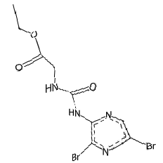 CCOC(=O)CNC(=O)Nc1ncc(Br)nc1Br